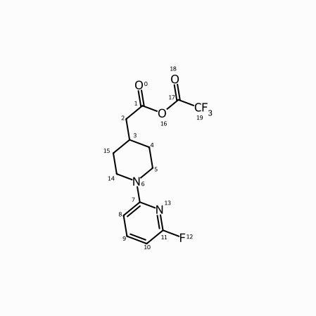 O=C(CC1CCN(c2cccc(F)n2)CC1)OC(=O)C(F)(F)F